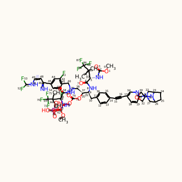 COC(=O)N[C@H](C(=O)N[C@@H](Cc1ccc(C#Cc2ccc(N3CC4CCC(C3)N4C3COC3)nc2)cc1)[C@H](CN(Cc1c(F)cc(C(=N)/C=C\NC(F)F)cc1F)NC(=O)[C@@H](NC(=O)OC)C(C)(C)C(F)(F)F)OC(=O)OCOP(=O)(O)O)C(C)(C)C(F)(F)F